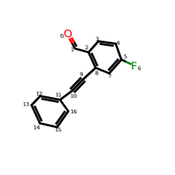 O=Cc1ccc(F)cc1C#Cc1ccccc1